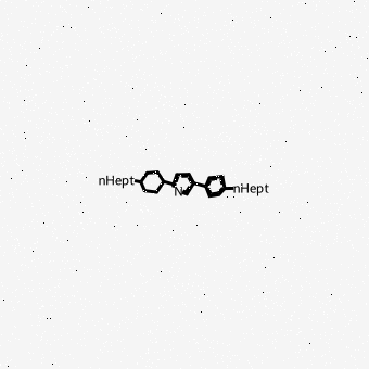 CCCCCCCc1ccc(-c2ccc(C3CCC(CCCCCCC)CC3)nc2)cc1